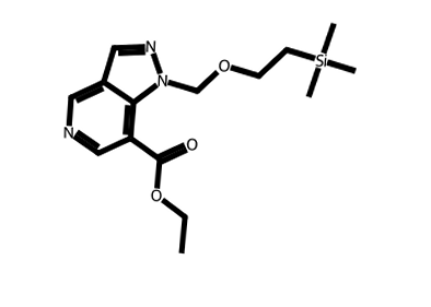 CCOC(=O)c1cncc2cnn(COCC[Si](C)(C)C)c12